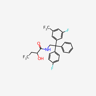 O=C(NCC(c1ccccc1)(c1ccc(F)cc1)c1cc(F)cc(C(F)(F)F)c1)C(O)CC(F)(F)F